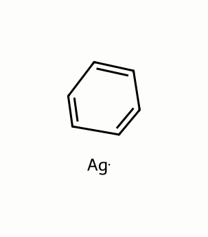 [Ag].c1ccccc1